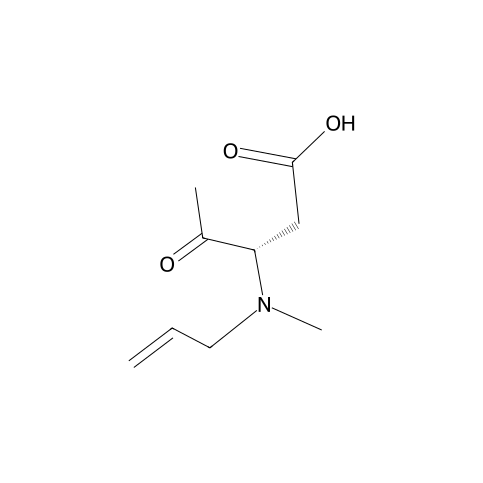 C=CCN(C)[C@@H](CC(=O)O)C(C)=O